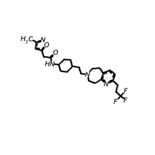 Cc1cc(CC(=O)NC2CCC(CCN3CCc4ccc(CCC(F)(F)F)nc4CC3)CC2)on1